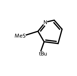 CSc1ncccc1C(C)(C)C